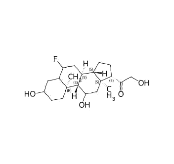 C[C@]12CC(O)[C@H]3[C@@H](CC(F)C4CC(O)CC[C@@]43C)[C@@H]1CC[C@@H]2C(=O)CO